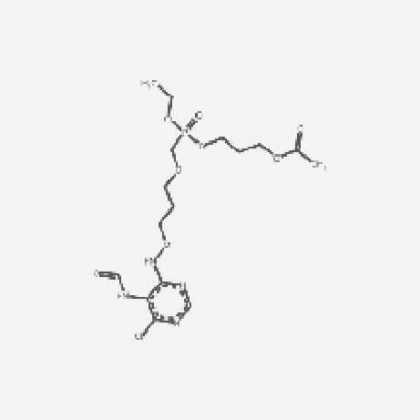 CCOP(=O)(COCCCONc1ncnc(Cl)c1NC=O)OCCCOC(C)=O